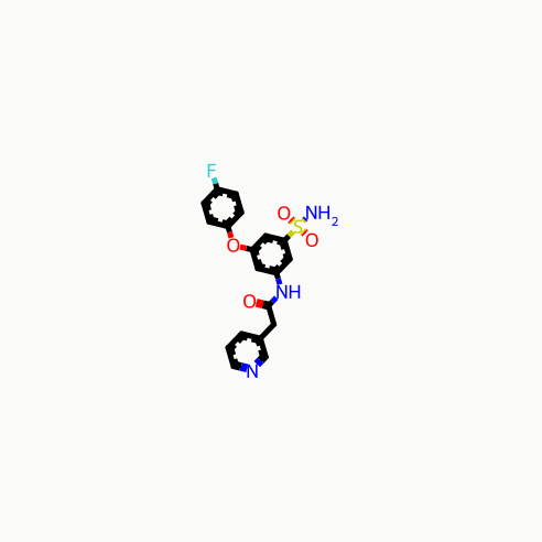 NS(=O)(=O)c1cc(NC(=O)Cc2cccnc2)cc(Oc2ccc(F)cc2)c1